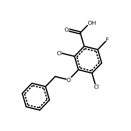 O=C(O)c1c(F)cc(Cl)c(OCc2ccccc2)c1Cl